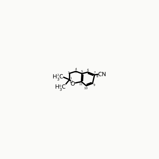 CC1(C)C[C]c2cc(C#N)ccc2O1